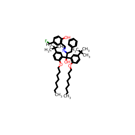 CCCCCCCCOc1ccc(C(C)(C)C)cc1C(O)(c1cc(C(C)(C)C)ccc1OCCCCCCCC)C(Cc1ccccc1)N=Cc1cc(CF)ccc1O